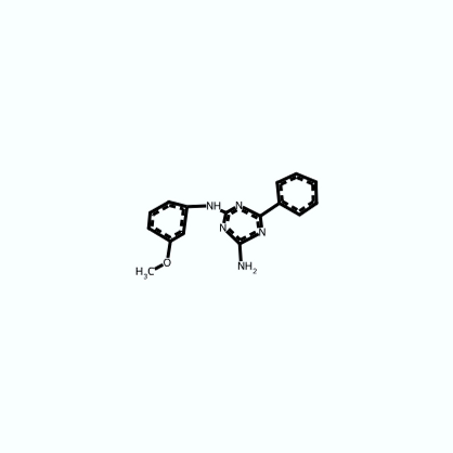 COc1cccc(Nc2nc(N)nc(-c3ccccc3)n2)c1